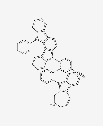 C[C@H]1CC=Cc2c(n(-c3ccccc3-c3cc(C#N)ccc3-n3c4ccccc4c4c3ccc3c5ccccc5n(-c5ccccc5)c34)c3ccccc23)C1